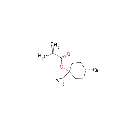 C=C(C)C(=O)OC1(C2CC2)CCC(C(C)(C)C)CC1